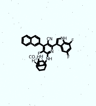 N#Cc1c(-c2c[nH]c3c(F)cc(F)cc23)nc(N[C@H]2C3CCC(CC3)[C@@H]2C(=O)O)c(F)c1-c1ccc2ccccc2c1